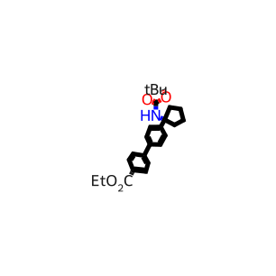 CCOC(=O)c1ccc(-c2ccc(C3(NC(=O)OC(C)(C)C)CCCC3)cc2)cc1